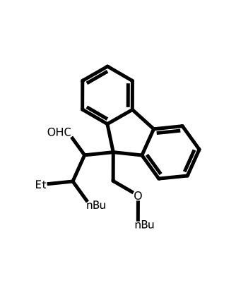 CCCCOCC1(C(C=O)C(CC)CCCC)c2ccccc2-c2ccccc21